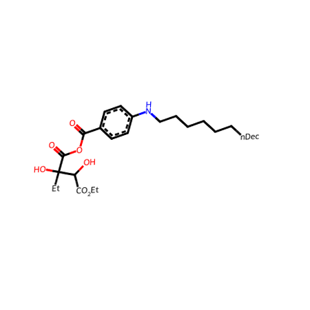 CCCCCCCCCCCCCCCCNc1ccc(C(=O)OC(=O)C(O)(CC)C(O)C(=O)OCC)cc1